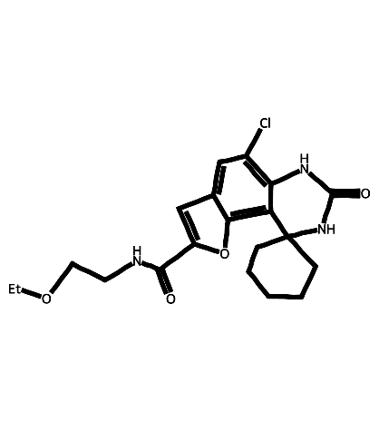 CCOCCNC(=O)c1cc2cc(Cl)c3c(c2o1)C1(CCCCC1)NC(=O)N3